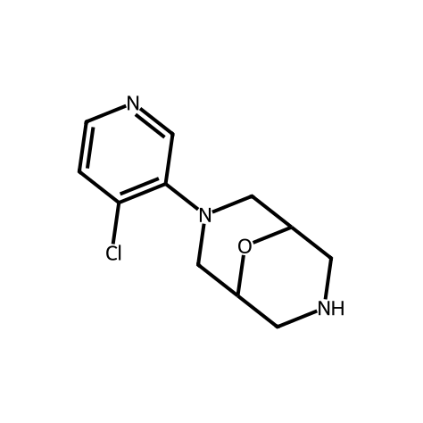 Clc1ccncc1N1CC2CNCC(C1)O2